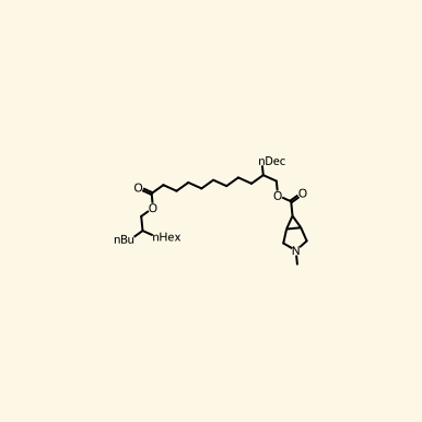 CCCCCCCCCCC(CCCCCCCCC(=O)OCC(CCCC)CCCCCC)COC(=O)C1C2CN(C)CC21